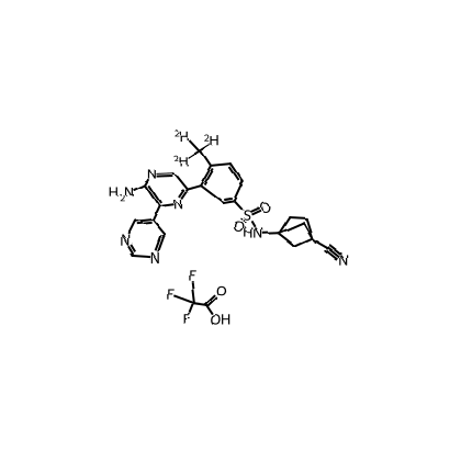 O=C(O)C(F)(F)F.[2H]C([2H])([2H])c1ccc(S(=O)(=O)NC23CCC(C#N)(C2)C3)cc1-c1cnc(N)c(-c2cncnc2)n1